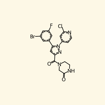 O=C1CN(C(=O)c2cc(-c3cc(F)cc(Br)c3)n(-c3ccnc(Cl)c3)n2)CCN1